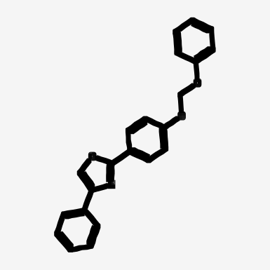 c1ccc(OCOc2ccc(-c3nc(-c4ccccc4)co3)cc2)cc1